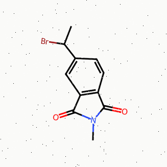 CC(Br)c1ccc2c(c1)C(=O)N(C)C2=O